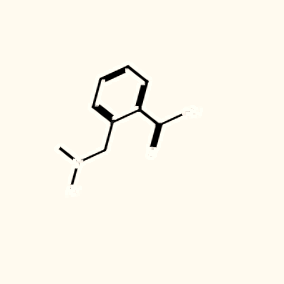 CC(=O)N(C)Cc1ccccc1C(=O)C(C)(C)C